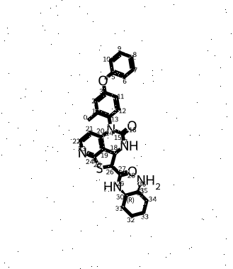 Cc1cc(Oc2ccccc2)ccc1N1C(=O)NC2c3c1ccnc3SC2C(=O)N[C@@H]1CCCC[C@@H]1N